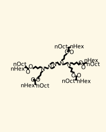 CCCCCCCCC(CCCCCC)C(=O)OCCCCN(CCCCOC(=O)C(CCCCCC)CCCCCCCC)CCN(CCCCOC(=O)C(CCCCCC)CCCCCCCC)CCN1CCN(CCN(CCCCOC(=O)C(CCCCCC)CCCCCCCC)CCCCOC(=O)C(CCCCCC)CCCCCCCC)CC1